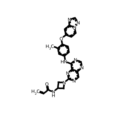 C=CC(=O)NC1CN(c2ncc3ncnc(Nc4ccc(Oc5ccn6ncnc6c5)c(C)c4)c3n2)C1